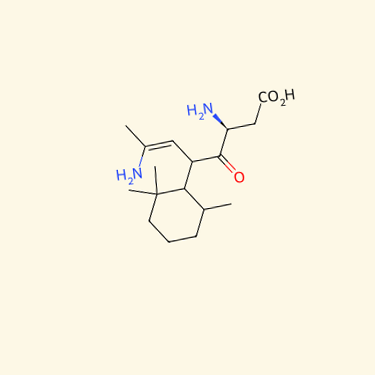 C/C(N)=C/C(C(=O)[C@@H](N)CC(=O)O)C1C(C)CCCC1(C)C